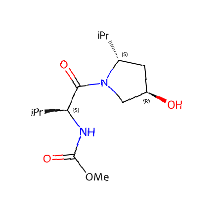 COC(=O)N[C@H](C(=O)N1C[C@H](O)C[C@H]1C(C)C)C(C)C